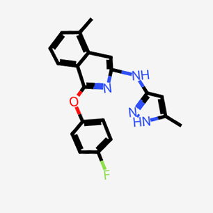 Cc1cc(Nc2cc3c(C)cccc3c(Oc3ccc(F)cc3)n2)n[nH]1